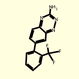 Nc1nnc2cc(-c3ccccc3C(F)(F)F)ccc2n1